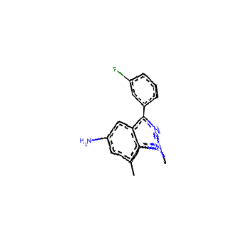 Cc1cc(N)cc2c(-c3cccc(F)c3)nn(C)c12